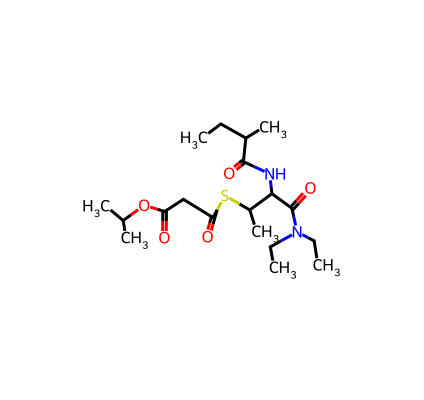 CCC(C)C(=O)NC(C(=O)N(CC)CC)C(C)SC(=O)CC(=O)OC(C)C